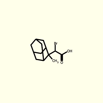 CC1(C(Br)C(=O)O)C2CC3CC(C2)CC1C3